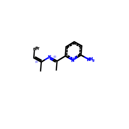 CCC/C=C(C)\N=C(/C)c1cccc(N)n1